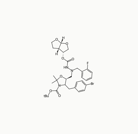 CC(C)(C)OC(=O)N1C(Cc2ccc(Br)cc2)[C@H](CN(Cc2ccccc2F)NC(=O)O[C@H]2CO[C@H]3OCC[C@H]32)OC1(C)C